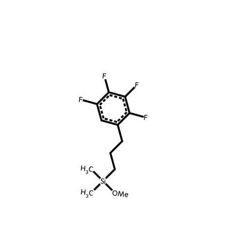 CO[Si](C)(C)CCCc1cc(F)c(F)c(F)c1F